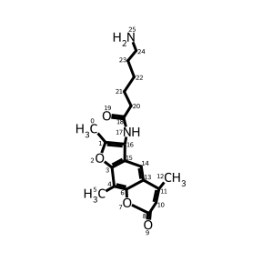 Cc1oc2c(C)c3oc(=O)cc(C)c3cc2c1NC(=O)CCCCCN